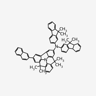 CC1(C)c2ccccc2-c2ccc(N(c3ccc4c(c3)C(C)(C)C3C=CC=CC43)c3cc4c5c(c3)c3cc(-c6ccc7ccccc7c6)cc6c3n5-c3c(cccc3C4(C)C)C6(C)C)cc21